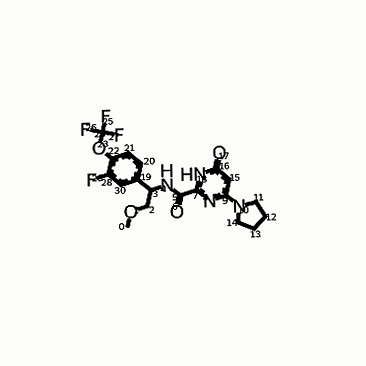 COCC(NC(=O)c1nc(N2CCCC2)cc(=O)[nH]1)c1ccc(OC(F)(F)F)c(F)c1